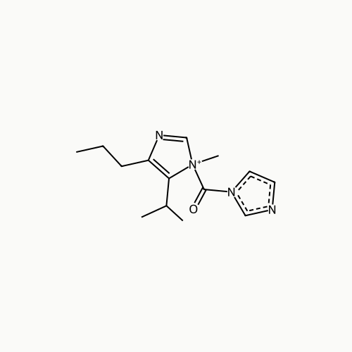 CCCC1=C(C(C)C)[N+](C)(C(=O)n2ccnc2)C=N1